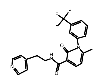 Cc1ccc(C(=O)NCCc2ccncc2)c(=O)n1-c1cccc(C(F)(F)F)c1